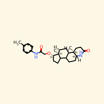 Cc1ccc(NC(=O)CO[C@H]2CCC3C4CC[C@H]5NC(=O)CC[C@]5(C)C4CC[C@@]32C)cc1